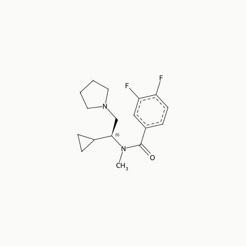 CN(C(=O)c1ccc(F)c(F)c1)[C@H](CN1CCCC1)C1CC1